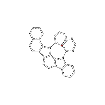 c1ccc(-n2c3c4ccccc4ccc3c3ccc4c5ccccc5n(-c5ncncn5)c4c32)cc1